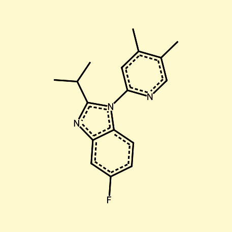 Cc1cnc(-n2c(C(C)C)nc3cc(F)ccc32)cc1C